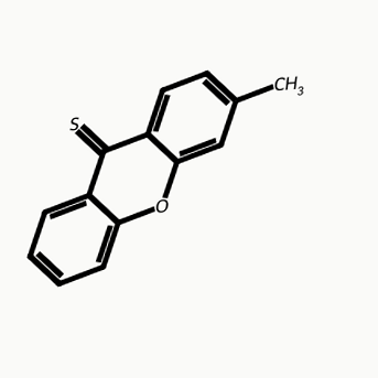 Cc1ccc2c(=S)c3ccccc3oc2c1